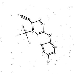 N#Cc1ccc(Oc2ccc(Br)cc2)cc1C(F)(F)F